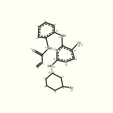 C=CC(=O)Nc1ccccc1Nc1nc(N[C@H]2CCCC(C(C)=O)C2)ncc1C(F)(F)F